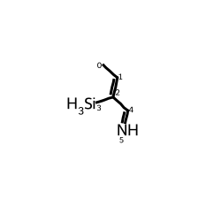 CC=C([SiH3])C=N